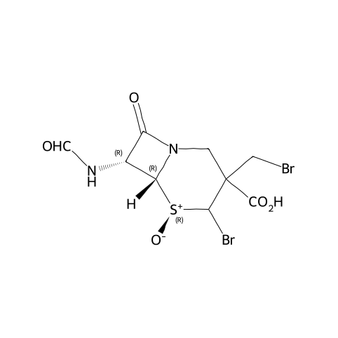 O=CN[C@@H]1C(=O)N2CC(CBr)(C(=O)O)C(Br)[S@@+]([O-])[C@H]12